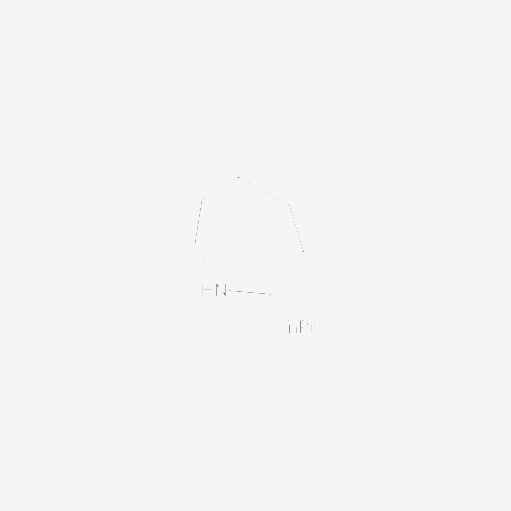 [CH2]CCC1CCCCCN1